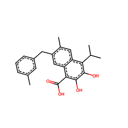 Cc1cccc(Cc2cc3c(C(=O)O)c(O)c(O)c(C(C)C)c3cc2C)c1